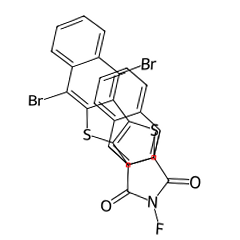 O=C1C2c3c4ccccc4c(c4c3sc3c4sc4c(Br)c5ccccc5c(Br)c43)C2C(=O)N1F